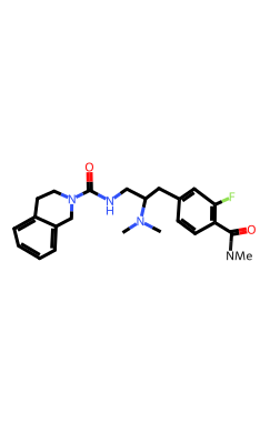 CNC(=O)c1ccc(CC(CNC(=O)N2CCc3ccccc3C2)N(C)C)cc1F